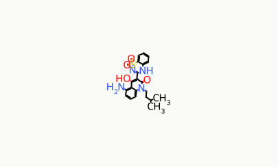 CC(C)CCn1c(=O)c(C2=NS(=O)(=O)c3ccccc3N2)c(O)c2c(N)cccc21